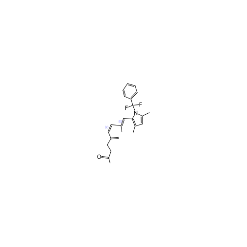 C=C(/C=C\C(C)=C\c1c(C)cc(C)n1C(F)(F)c1ccccc1)CCC(C)=O